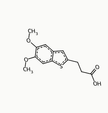 COc1cc2cc(CCC(=O)O)sc2cc1OC